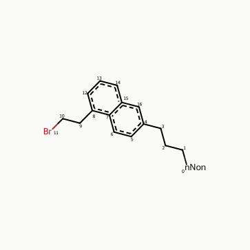 CCCCCCCCCCCCc1ccc2c(CCBr)cccc2c1